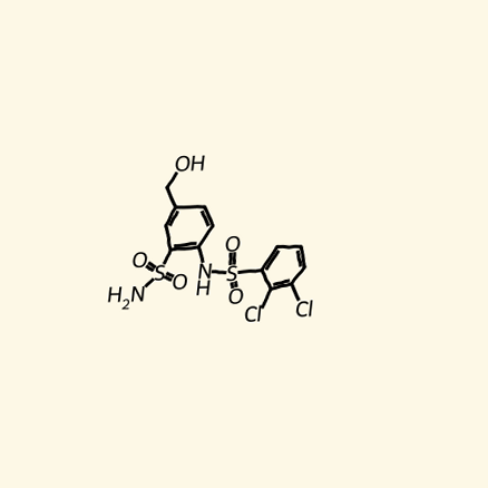 NS(=O)(=O)c1cc(CO)ccc1NS(=O)(=O)c1cccc(Cl)c1Cl